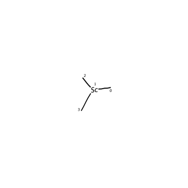 [CH3][Sc]([CH3])[CH3]